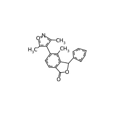 Cc1noc(C)c1-c1ccc2c(c1C)C(c1ccccc1)OC2=O